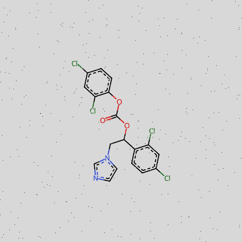 O=C(Oc1ccc(Cl)cc1Cl)OC(Cn1ccnc1)c1ccc(Cl)cc1Cl